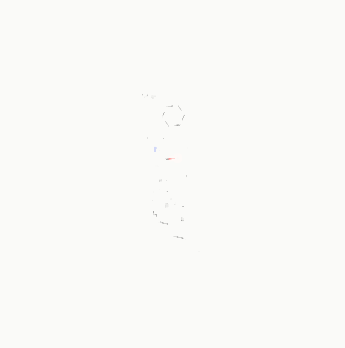 COc1cccc(C(C)(C)NC(=O)[C@H]2CC[C@H]3[C@@H]4CC=C5C=C(C=O)CC[C@]5(C)[C@H]4CC[C@]23C)c1